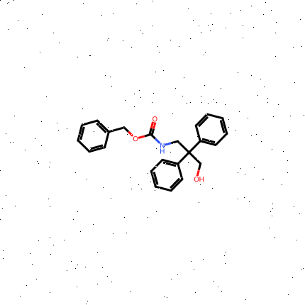 O=C(NCC(CO)(c1ccccc1)c1ccccc1)OCc1ccccc1